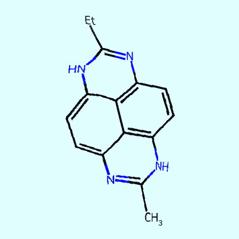 CCC1=Nc2ccc3c4c(ccc(c24)N1)N=C(C)N3